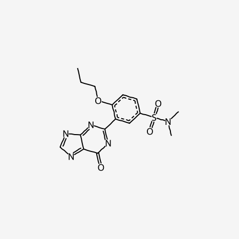 CCCOc1ccc(S(=O)(=O)N(C)C)cc1C1=NC(=O)C2=NC=NC2=N1